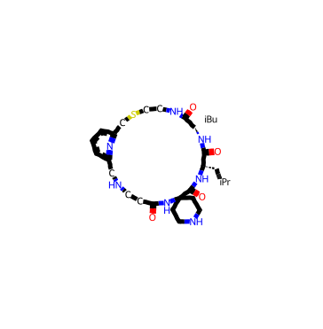 CC[C@H](C)[C@@H]1NC(=O)[C@H](CC(C)C)NC(=O)C2(CCNCC2)NC(=O)CCNCc2cccc(n2)CSCCNC1=O